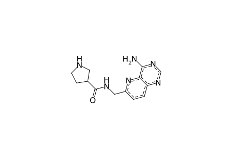 Nc1ncnc2ccc(CNC(=O)C3CCNC3)nc12